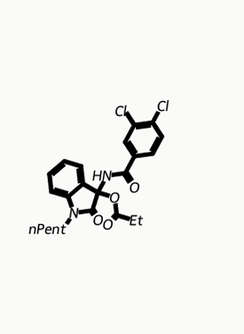 CCCCCN1C(=O)C(NC(=O)c2ccc(Cl)c(Cl)c2)(OC(=O)CC)c2ccccc21